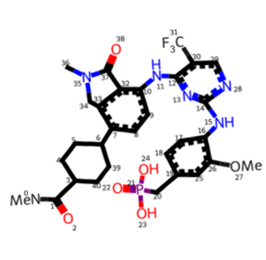 CNC(=O)C1CCC(c2ccc(Nc3nc(Nc4ccc(CP(=O)(O)O)cc4OC)ncc3C(F)(F)F)c3c2CN(C)C3=O)CC1